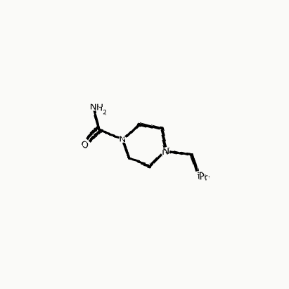 C[C](C)CN1CCN(C(N)=O)CC1